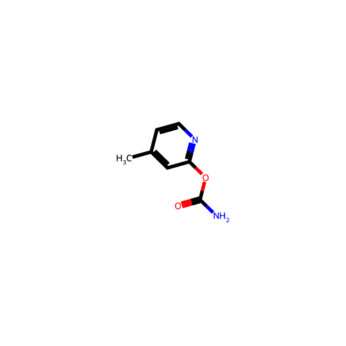 Cc1ccnc(OC(N)=O)c1